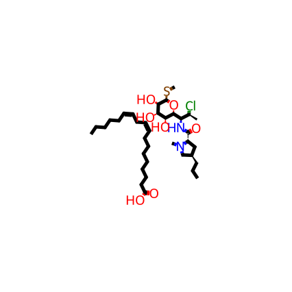 CCCCC/C=C\C/C=C\CCCCCCCC(=O)O.CCC[C@@H]1C[C@@H](C(=O)N[C@@H]([C@H]2O[C@H](SC)[C@H](O)[C@@H](O)[C@H]2O)[C@H](C)Cl)N(C)C1